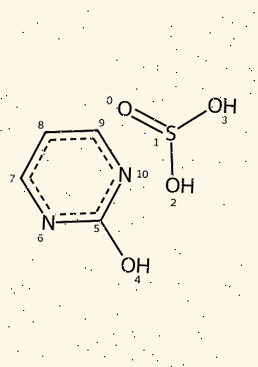 O=S(O)O.Oc1ncccn1